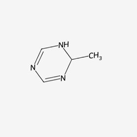 CC1N=CN=CN1